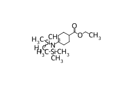 CCOC(=O)C1CCC(N([Si](C)(C)C)[Si](C)(C)C)CC1